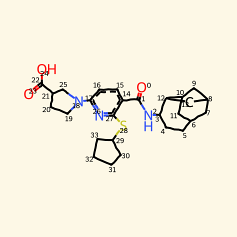 O=C(NC1CCC2CC3CC(C2)C1C3)c1ccc(N2CCC(C(=O)O)C2)nc1SC1CCCC1